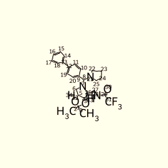 CC1(C)O[C@H]2[C@H](CN(C(c3ccc(-c4ccccc4)cc3)N3CCCC3)[C@H]2CNC(=O)C(F)(F)F)O1